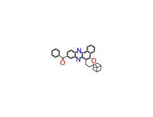 CC1(C)C2CC1CC1(CCc3c(c4ccccc4c4nc5ccc(C(=O)c6ccccc6)cc5nc34)O1)C2